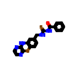 O=C(NC(=S)NCc1ccc2c(c1)Nc1nccnc1S2)c1ccccc1